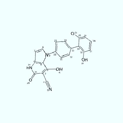 N#Cc1c(O)c2c(ccn2-c2ccc(-c3c(O)cccc3Cl)cc2)[nH]c1=O